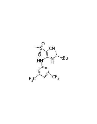 CC(N/C(Nc1cc(C(F)(F)F)cc(C(F)(F)F)c1)=C(\C#N)S(C)(=O)=O)C(C)(C)C